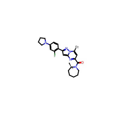 CCc1cc(C(=O)N2CCCCC[C@H]2C)nc2cc(-c3ccc(N4CCCC4)cc3F)nn12